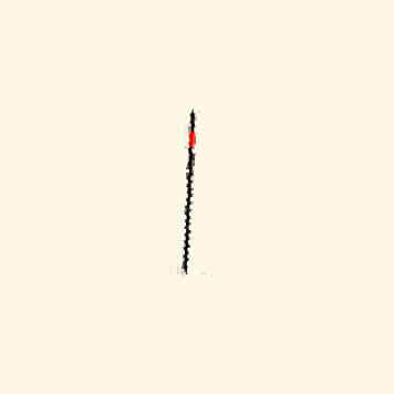 CCCCCCNCCCCCCCCCCCCCCCCCCCCCCCCCCCNCCNCCNCCNCCNCCCCC(=O)O